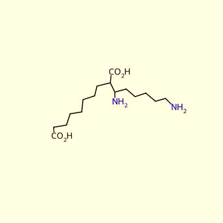 NCCCCCC(N)C(CCCCCCCC(=O)O)C(=O)O